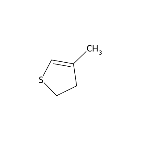 CC1=CSCC1